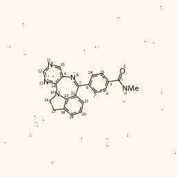 CNC(=O)c1ccc(C2=Nc3cncnc3N3CCc4cccc2c43)cc1